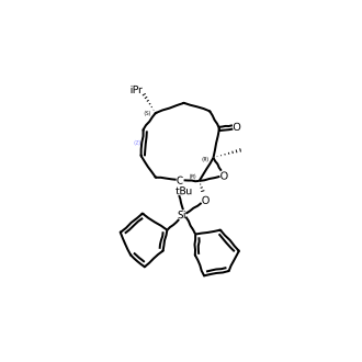 CC(C)[C@H]1/C=C\CC[C@]2(O[Si](c3ccccc3)(c3ccccc3)C(C)(C)C)O[C@]2(C)C(=O)CC1